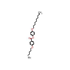 C=CCCCCCCCCOc1ccc(OC(=O)c2ccc(OCCCCC[C@@H](C)CC)cc2)cc1